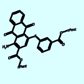 CCCCCOC(=O)c1cccc(Sc2cc(C(=O)OCCCCC)c(N)c3c2C(=O)c2ccccc2C3=O)c1